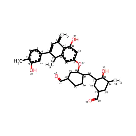 C=C1C=C(c2ccc(C)c(O)c2)C(C)c2cc(OC3CC(C=O)CCC3CC3CC(C=O)CC(C)C3O)cc(O)c21